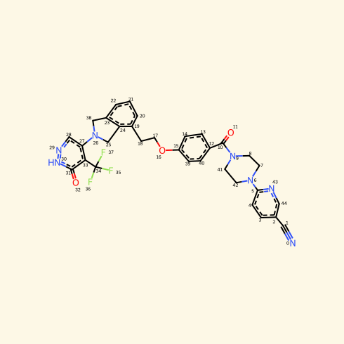 N#Cc1ccc(N2CCN(C(=O)c3ccc(OCCc4cccc5c4CN(c4cn[nH]c(=O)c4C(F)(F)F)C5)cc3)CC2)nc1